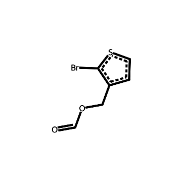 O=COCc1ccsc1Br